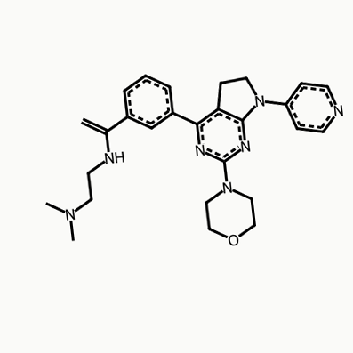 C=C(NCCN(C)C)c1cccc(-c2nc(N3CCOCC3)nc3c2CCN3c2ccncc2)c1